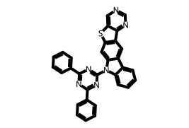 c1ccc(-c2nc(-c3ccccc3)nc(-n3c4ccccc4c4cc5c(cc43)sc3cncnc35)n2)cc1